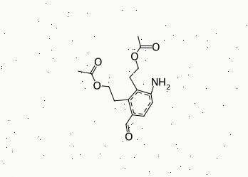 CC(=O)OCCc1c(N)ccc(C=O)c1CCOC(C)=O